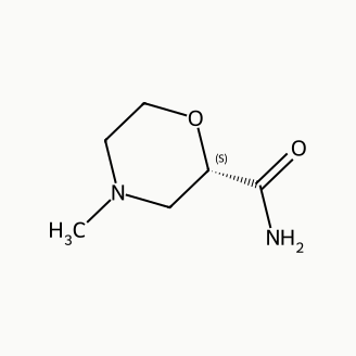 CN1CCO[C@H](C(N)=O)C1